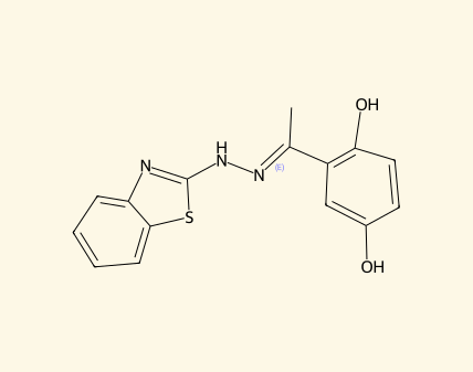 C/C(=N\Nc1nc2ccccc2s1)c1cc(O)ccc1O